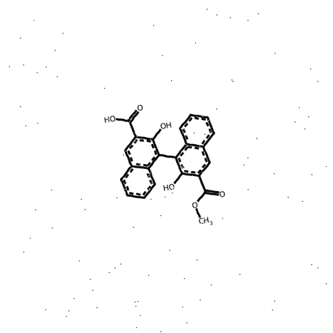 COC(=O)c1cc2ccccc2c(-c2c(O)c(C(=O)O)cc3ccccc23)c1O